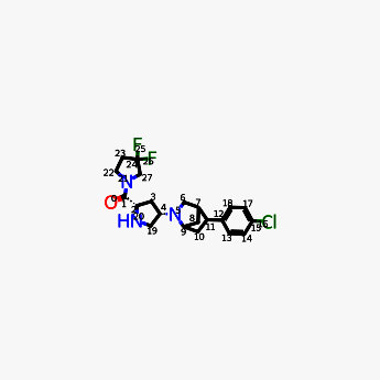 O=C([C@@H]1C[C@H](N2CC3CC2CC3c2ccc(Cl)cc2)CN1)N1CCC(F)(F)C1